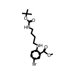 COC(=O)c1cc(Br)ccc1NCCCCNC(=O)OC(C)(C)C